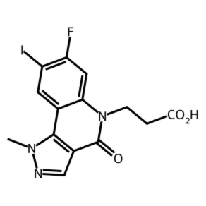 Cn1ncc2c(=O)n(CCC(=O)O)c3cc(F)c(I)cc3c21